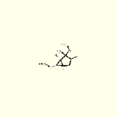 N[C@]1(OC(=O)O)[C@H]2[C@@H](C[C@@H]1F)[C@@H]2OC(=O)O